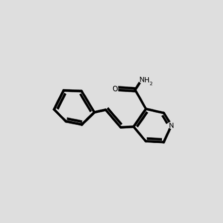 NC(=O)c1cnccc1C=Cc1ccccc1